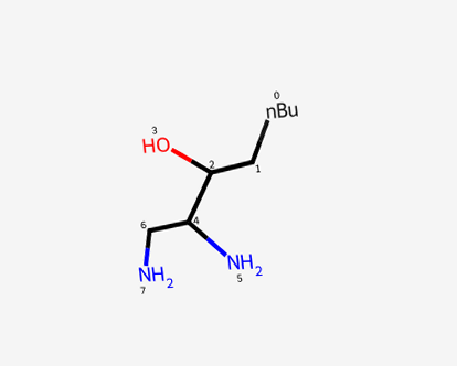 CCCCCC(O)C(N)CN